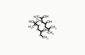 CC(C)CC(O)CC(C)O.CCC(O)CCC(C)(C)O